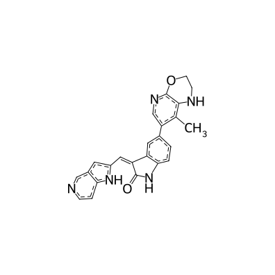 Cc1c(-c2ccc3c(c2)/C(=C/c2cc4cnccc4[nH]2)C(=O)N3)cnc2c1NCCO2